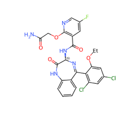 CCOc1cc(Cl)cc(Cl)c1C1=N[C@H](NC(=O)c2cc(F)cnc2OCC(N)=O)C(=O)Nc2ccccc21